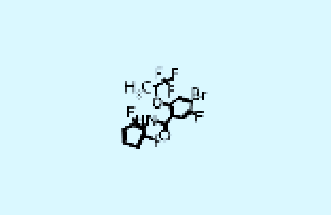 C[C@H](Oc1cc(Br)c(F)cc1C(=O)Nc1c(F)cccc1F)C(F)(F)F